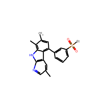 CCS(=O)(=O)c1cccc(-c2cc(C(F)(F)F)c(C)c3[nH]c4ncc(C)cc4c23)c1